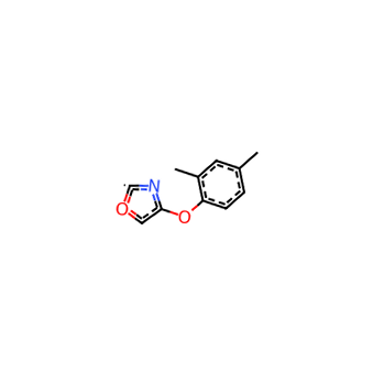 Cc1ccc(Oc2co[c]n2)c(C)c1